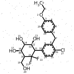 CCOc1ccc(Cc2cc(C3[C@H](O)C(O)[C@H](O)C(CO)C3(F)F)ccc2Cl)cc1